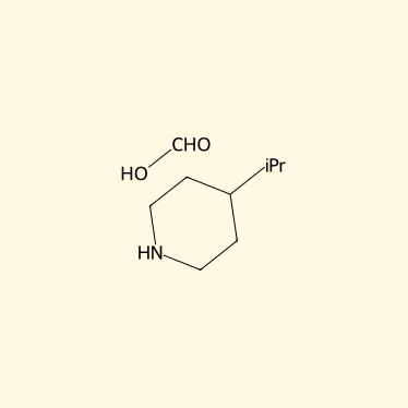 CC(C)C1CCNCC1.O=CO